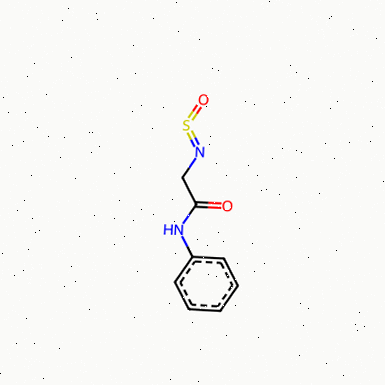 O=S=NCC(=O)Nc1ccccc1